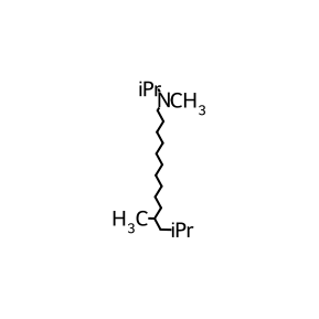 CC(C)CC(C)CCCCCCCCCCN(C)C(C)C